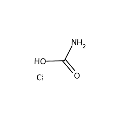 NC(=O)O.[C]